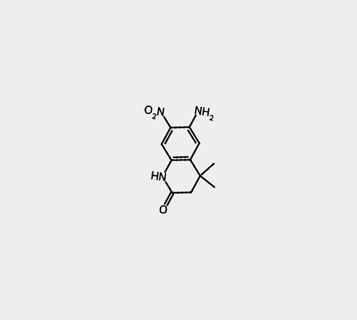 CC1(C)CC(=O)Nc2cc([N+](=O)[O-])c(N)cc21